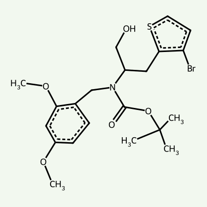 COc1ccc(CN(C(=O)OC(C)(C)C)C(CO)Cc2sccc2Br)c(OC)c1